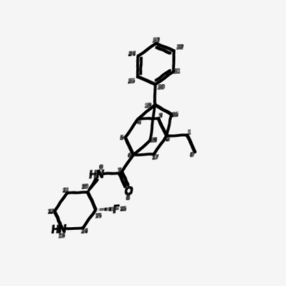 CCC12CC3CC(C(=O)N[C@@H]4CCNC[C@H]4F)(C1)CC3(c1ccccc1)C2